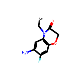 CC(=O)CN1C(=O)COc2cc(F)c(N)cc21